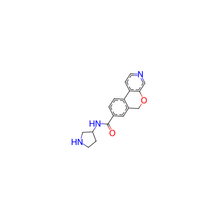 O=C(NC1CCNC1)c1ccc2c(c1)COc1cnccc1-2